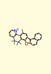 Cc1cc2c(oc3ccc4ccccc4c32)c2c1-c1c(ccc[n+]1C)C(C)(C)C2(C)C